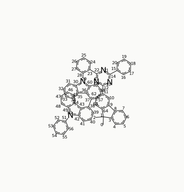 CC1(C)c2ccccc2-c2cc(-c3nc(-c4ccccc4)nc(-c4ccccc4-n4c5ccccc5c5c(-c6cccc7c6c6ccccc6n7-c6ccccc6)cccc54)n3)ccc21